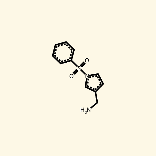 NCc1ccn(S(=O)(=O)c2ccccc2)c1